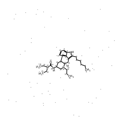 CCCCCCc1[nH]c2cccc3c2c1C[C@@H]1C3C[C@H](NC(=O)N(CC)CC)CN1CCC